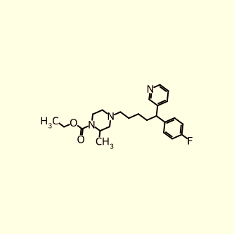 CCOC(=O)N1CCN(CCCCC(c2ccc(F)cc2)c2cccnc2)CC1C